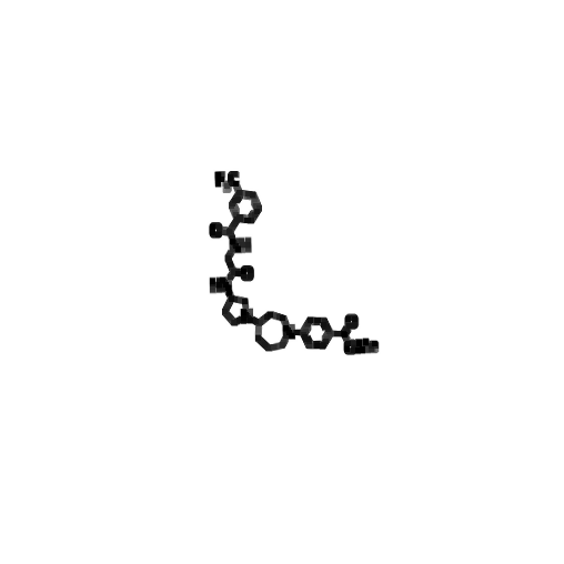 COC(=O)c1ccc(N2CCCC(N3CC[C@@H](NC(=O)CNC(=O)c4cccc(C(F)(F)F)c4)C3)CC2)cc1